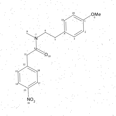 COc1ccc(CCN(C)C(=O)Cc2ccc([N+](=O)[O-])cc2)cc1